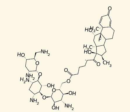 C[C@@H]1CC2C3CCC4=CC(=O)C=C[C@]4(C)[C@@]3(F)[C@@H](O)C[C@]2(C)[C@@]1(O)C(=O)[CH]CCCC(=O)OC[C@H]1O[C@H](O[C@@H]2[C@@H](O)[C@H](O[C@H]3O[C@H](CN)[C@@H](O)C[C@H]3N)[C@@H](N)C[C@H]2N)[C@H](O)[C@@H](N)[C@@H]1O